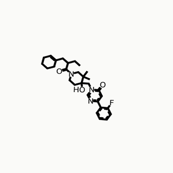 CCC(CC1=CCCCC1)C(=O)N1CCC(O)(Cn2cnc(-c3ccccc3F)cc2=O)C(C)(C)C1